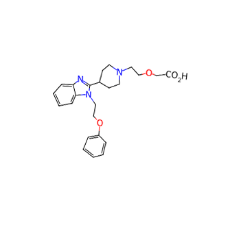 O=C(O)COCCN1CCC(c2nc3ccccc3n2CCOc2ccccc2)CC1